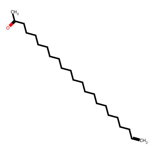 C=C[CH]CCCCCCCCCCCCCCCCCCC(C)=O